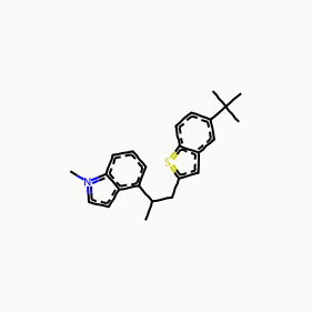 CC(Cc1cc2cc(C(C)(C)C)ccc2s1)c1cccc2c1ccn2C